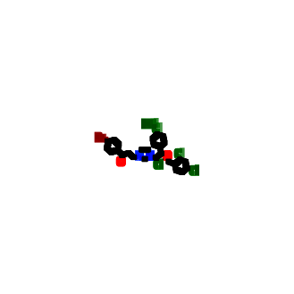 Cl.O=C(CCN1C=CN(C(Cl)C(OCc2ccc(Cl)cc2Cl)c2ccc(Cl)cc2)C1)c1ccc(Br)cc1